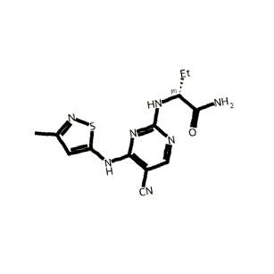 CC[C@@H](Nc1ncc(C#N)c(Nc2cc(C)ns2)n1)C(N)=O